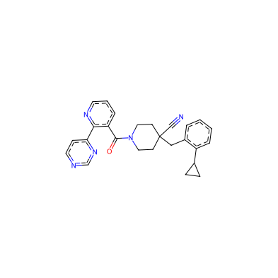 N#CC1(Cc2ccccc2C2CC2)CCN(C(=O)c2cccnc2-c2ccncn2)CC1